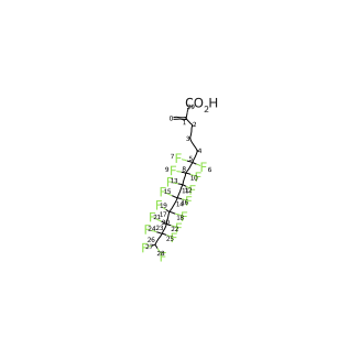 C=C(CCCC(F)(F)C(F)(F)C(F)(F)C(F)(F)C(F)(F)C(F)(F)C(F)(F)C(F)F)C(=O)O